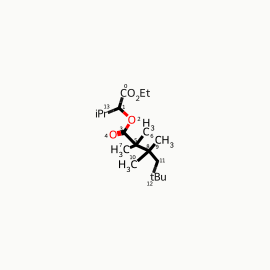 CCOC(=O)C(OC(=O)C(C)(C)C(C)(C)CC(C)(C)C)C(C)C